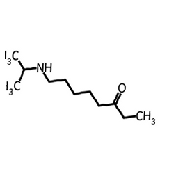 CCC(=O)CCCCCNC(C)C